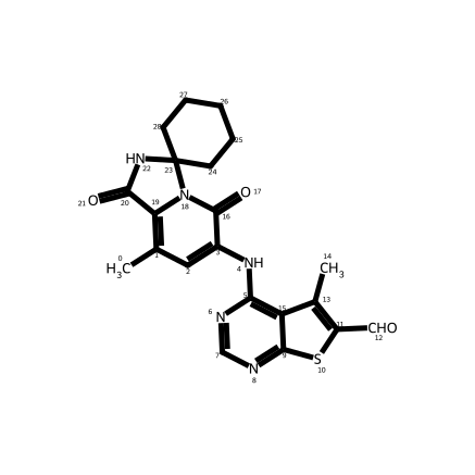 Cc1cc(Nc2ncnc3sc(C=O)c(C)c23)c(=O)n2c1C(=O)NC21CCCCC1